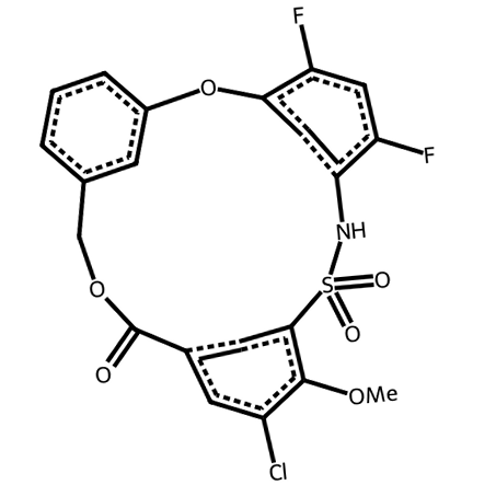 COc1c(Cl)cc2cc1S(=O)(=O)Nc1cc(c(F)cc1F)Oc1cccc(c1)COC2=O